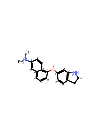 CCN(CC)c1ccc2c(Oc3ccc4c(c3)NCC4)cccc2c1